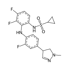 CN1CC(c2ccc(Nc3c(NS(=O)(=O)C4CC4)ccc(F)c3F)c(F)c2)C=N1